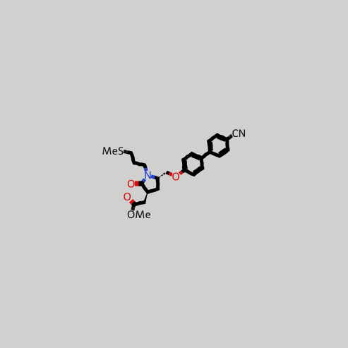 COC(=O)C[C@@H]1C[C@@H](COc2ccc(-c3ccc(C#N)cc3)cc2)N(CCCSC)C1=O